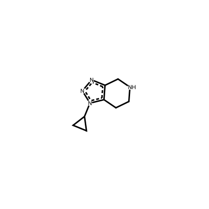 C1Cc2c(nnn2C2CC2)CN1